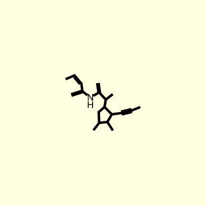 C=C(/C=C\C)NC(=C)C(C)C1CC(C)C(C)C1C#CC